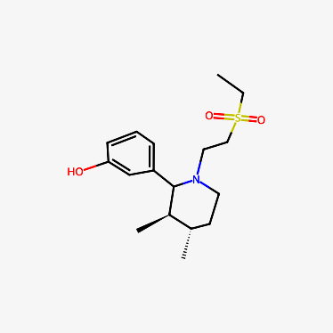 CCS(=O)(=O)CCN1CC[C@H](C)[C@@H](C)C1c1cccc(O)c1